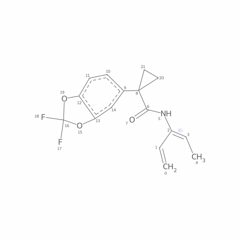 C=C/C(=C\C)NC(=O)C1(c2ccc3c(c2)OC(F)(F)O3)CC1